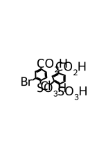 O=C(O)c1ccc(S(=O)(=O)O)c(Br)c1.O=C(O)c1ccc(S(=O)(=O)O)c(Cl)c1